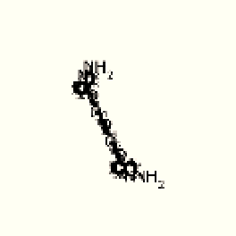 Nc1ccc2c(OCCOCCOCCOCCOc3cccc4nc(N)ccc34)cccc2n1